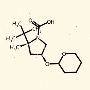 CC(C)(C)[C@@]1(C)C[C@H](OC2CCCCO2)CN1C(=O)O